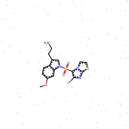 COc1ccc2c(CCN)cn(S(=O)(=O)c3c(Cl)nc4sccn34)c2c1